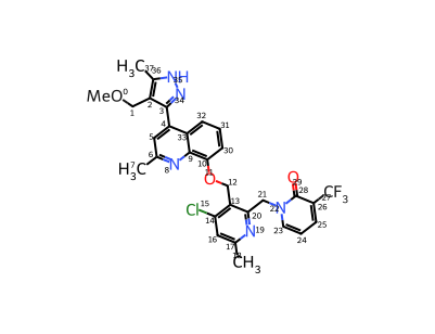 COCc1c(-c2cc(C)nc3c(OCc4c(Cl)cc(C)nc4Cn4cccc(C(F)(F)F)c4=O)cccc23)n[nH]c1C